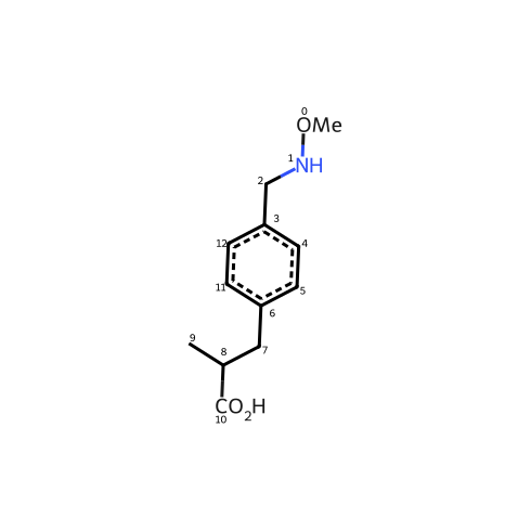 CONCc1ccc(CC(C)C(=O)O)cc1